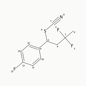 CC(F)(F)CC(SC#N)c1ccc(F)cc1